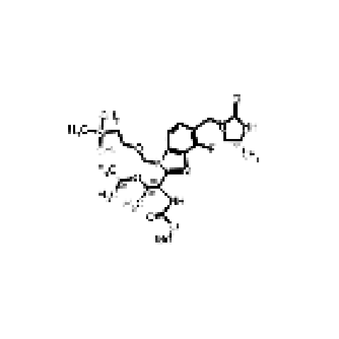 C[C@@H](O[C@H](C)C(F)(F)F)[C@H](NC(=O)OC(C)(C)C)c1nc2c(F)c(CN3C[C@@H](C(F)(F)F)NC3=O)ccc2n1COCC[Si](C)(C)C